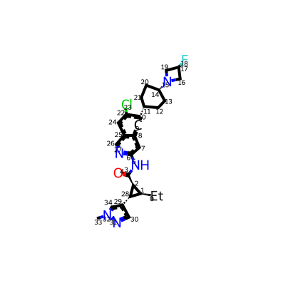 CC[C@@H]1[C@H](C(=O)Nc2cc3cc([C@H]4CC[C@@H](N5CC(F)C5)CC4)c(Cl)cc3cn2)[C@H]1c1cnn(C)c1